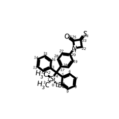 CC(C)(C)[Si](C)(C)C(c1ccccc1)(c1ccccc1)c1ccc(N2CC(=S)C2=O)cc1